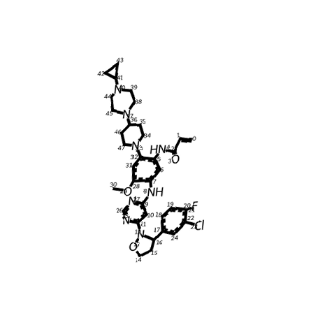 C=CC(=O)Nc1cc(Nc2cc(N3OCCC3c3ccc(F)c(Cl)c3)ncn2)c(OC)cc1N1CCC(N2CCN(C3CC3)CC2)CC1